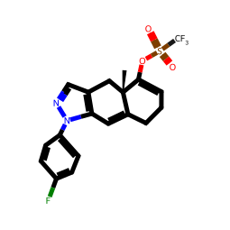 C[C@]12Cc3cnn(-c4ccc(F)cc4)c3C=C1CCC=C2OS(=O)(=O)C(F)(F)F